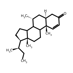 CC[C@@H](C)[C@H]1CCC2C3C(CC[C@@]21C)[C@@]1(C)C=CC(=O)C[C@@H]1C[C@H]3C